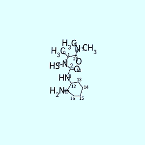 CC(C(=O)N(C)C)N(S)C(=O)NC1CCCCC1N